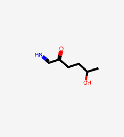 CC(O)CCC(=O)C=N